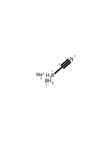 B.[BH3-]C#N.[Na+]